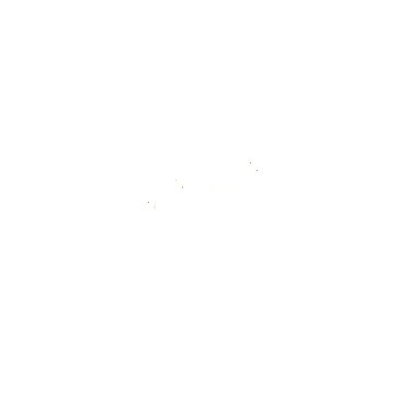 C=C(C1CCCC1)N1CCN(Cc2cc(F)cc(NC=O)c2C)CC1